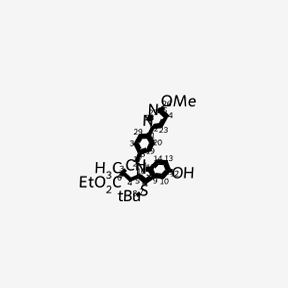 CCOC(=O)C(C)(C)Cc1c(SC(C)(C)C)c2cc(O)ccc2n1Cc1ccc(-c2ccc(OC)nn2)cc1